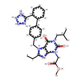 CCc1nc2c(c(=O)n(CC(C)C)c(=O)n2CC(=O)OC)n1Cc1ccc(-c2ccccc2-c2nnn[nH]2)cc1